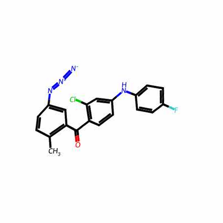 Cc1ccc(N=[N+]=[N-])cc1C(=O)c1ccc(Nc2ccc(F)cc2)cc1Cl